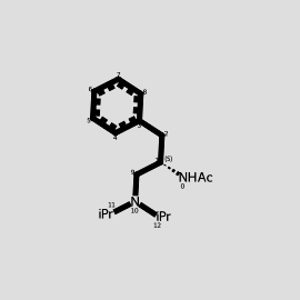 CC(=O)N[C@@H](Cc1ccccc1)CN(C(C)C)C(C)C